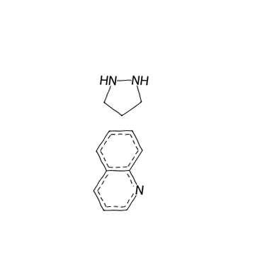 C1CNNC1.c1ccc2ncccc2c1